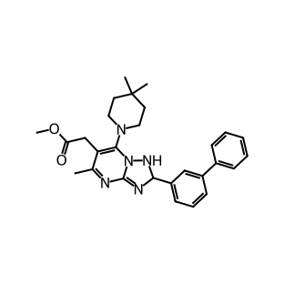 COC(=O)CC1=C(N2CCC(C)(C)CC2)N2NC(c3cccc(-c4ccccc4)c3)N=C2N=C1C